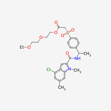 CCOCCOCCOC(=O)CS(=O)(=O)c1ccc(C(C)NC(=O)c2cc3c(Cl)cc(C)cc3n2C)cc1